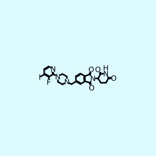 O=C1CCC(N2C(=O)c3ccc(CN4CCN(c5nccc(I)c5F)CC4)cc3C2=O)C(=O)N1